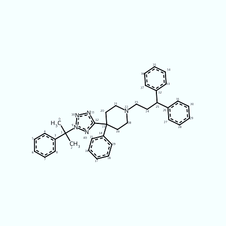 CC(C)(c1ccccc1)n1nnc(C2(c3ccccc3)CCN(CCC(c3ccccc3)c3ccccc3)CC2)n1